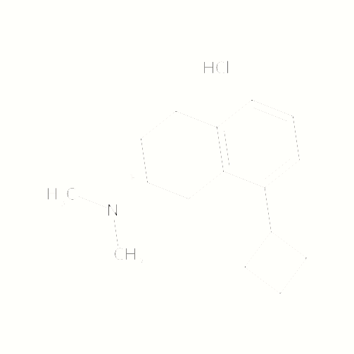 CN(C)[C@@H]1CCc2cccc(C3CCC3)c2C1.Cl